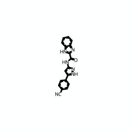 N#Cc1ccc(-c2cc(NC(=O)c3nc4ccccc4[nH]3)n[nH]2)cc1